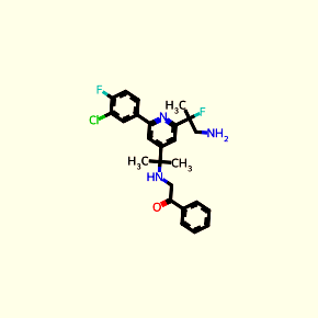 CC(F)(CN)c1cc(C(C)(C)NCC(=O)c2ccccc2)cc(-c2ccc(F)c(Cl)c2)n1